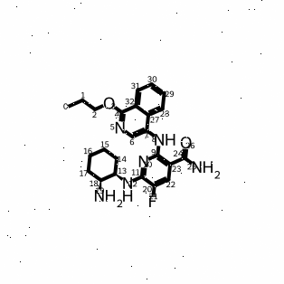 CCCOc1ncc(Nc2nc(N[C@@H]3CCCC[C@@H]3N)c(F)cc2C(N)=O)c2ccccc12